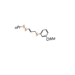 CCCSS/C=C/CSc1cccc(OC)c1